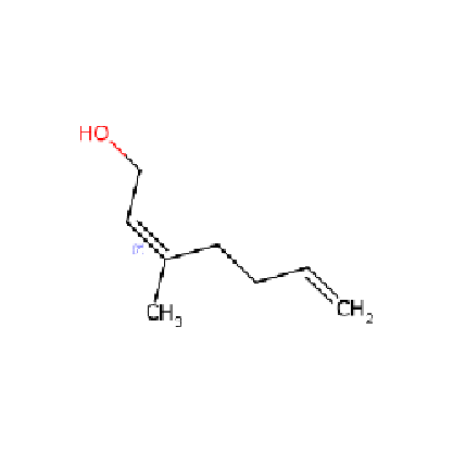 C=CCC/C(C)=C\CO